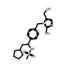 CCCCc1ncc(CO)n1Cc1ccc(C(CC2CCCC2)NS(C)(=O)=O)cc1